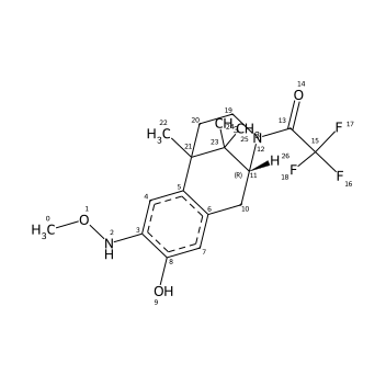 CONc1cc2c(cc1O)C[C@H]1N(C(=O)C(F)(F)F)CCC2(C)C1(C)C